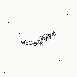 COCCOc1ccn2c(C(=O)Nc3cccc4c3cnn4Cc3cccnc3)cnc2c1